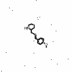 COc1ccc(C=CCC2CCCCN2)cc1